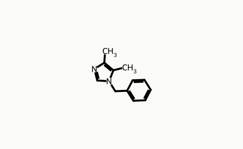 Cc1ncn(Cc2ccccc2)c1C